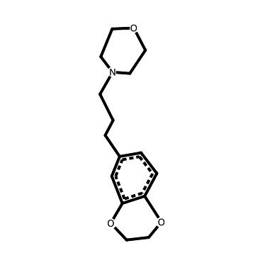 c1cc2c(cc1CCCN1CCOCC1)OCCO2